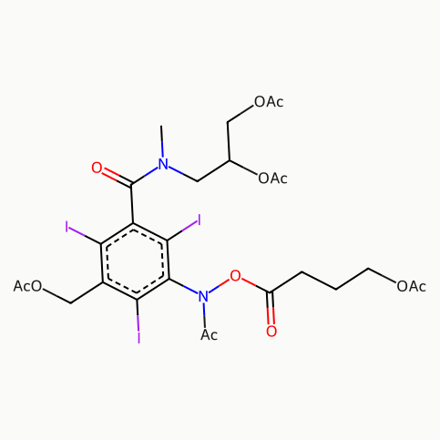 CC(=O)OCCCC(=O)ON(C(C)=O)c1c(I)c(COC(C)=O)c(I)c(C(=O)N(C)CC(COC(C)=O)OC(C)=O)c1I